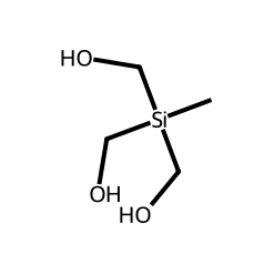 C[Si](CO)(CO)CO